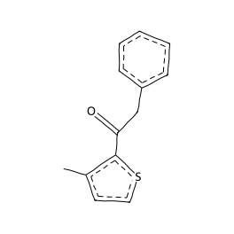 Cc1ccsc1C(=O)Cc1ccccc1